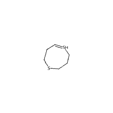 C1=[SH]CCCSCC1